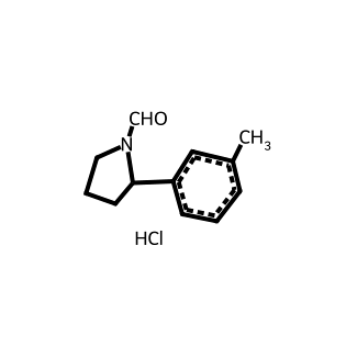 Cc1cccc(C2CCCN2C=O)c1.Cl